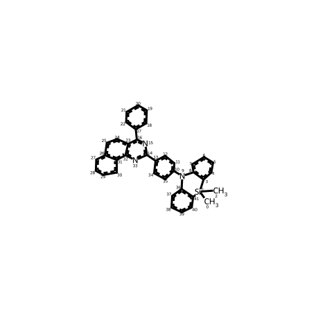 C[Si]1(C)c2ccccc2N(c2ccc(-c3nc(-c4ccccc4)c4ccc5ccccc5c4n3)cc2)c2ccccc21